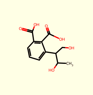 CC(O)C(CO)c1cccc(C(=O)O)c1C(=O)O